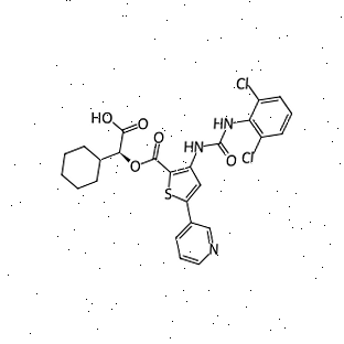 O=C(Nc1cc(-c2cccnc2)sc1C(=O)O[C@H](C(=O)O)C1CCCCC1)Nc1c(Cl)cccc1Cl